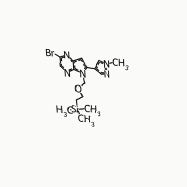 Cn1cc(-c2cc3nc(Br)cnc3n2COCC[Si](C)(C)C)cn1